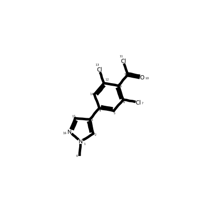 Cn1cc(-c2cc(Cl)c(C(=O)Cl)c(Cl)c2)cn1